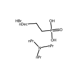 Br.CCCCCCCCCCCCP(=O)(O)O.CCCN(CCC)CCC